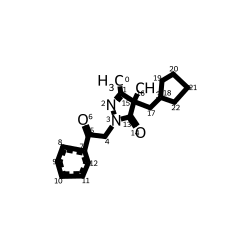 CC1=NN(CC(=O)c2ccccc2)C(=O)C1(C)CC1CCCC1